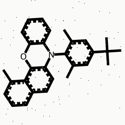 Cc1cc(C(C)(C)C)cc(C)c1N1c2ccccc2Oc2c1ccc1cccc(C)c21